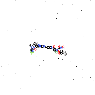 CC(C)c1cc2nn(C3CCN(CCC4CCC5(CC4)CCN(C(=O)c4ccc(Cl)c(N(CCC(=O)NC=O)COC(=O)C(C)(C)C)c4)CC5)CC3)cc2cc1NC(=O)c1cccc(C(F)(F)F)n1